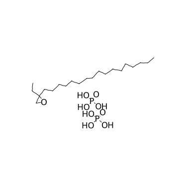 CCCCCCCCCCCCCCCCCC1(CC)CO1.O=P(O)(O)O.O=P(O)(O)O